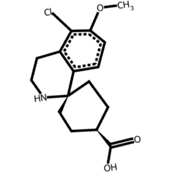 COc1ccc2c(c1Cl)CCN[C@]21CC[C@H](C(=O)O)CC1